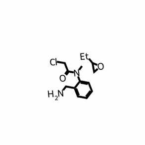 CCC1CO1.CN(C(=O)CCl)c1ccccc1CN